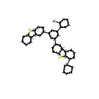 N#Cc1ccccc1-c1cc(-c2ccc3sc4ccccc4c3c2)cc(-c2ccc3sc4c(-c5ccccc5)cccc4c3c2)c1